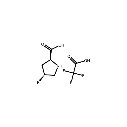 O=C(O)C(F)(F)F.O=C(O)[C@@H]1C[C@H](F)CN1